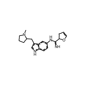 CN1CCCC1Cc1c[nH]c2ccc(NC(=N)C3CC=CO3)cc12